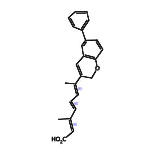 CC(/C=C/C=C(\C)C1=Cc2cc(-c3ccccc3)ccc2OC1)=C\C(=O)O